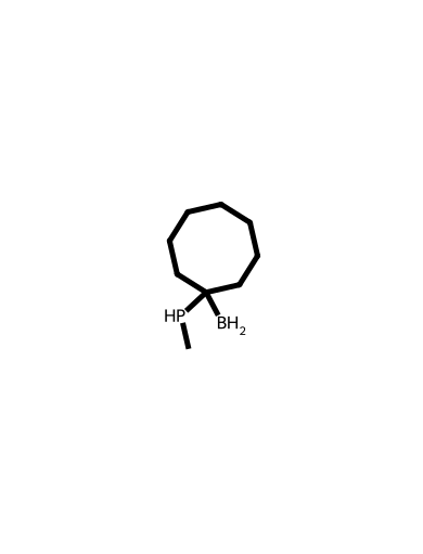 BC1(PC)CCCCCCC1